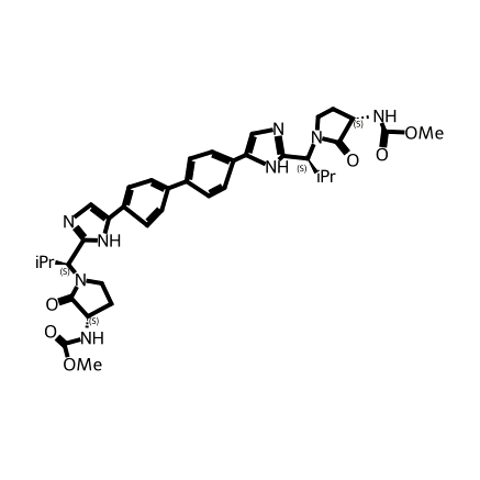 COC(=O)N[C@H]1CCN([C@H](c2ncc(-c3ccc(-c4ccc(-c5cnc([C@H](C(C)C)N6CC[C@H](NC(=O)OC)C6=O)[nH]5)cc4)cc3)[nH]2)C(C)C)C1=O